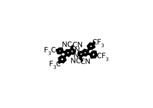 N#CC(C#N)=C1c2cc(-c3ccc(C(F)(F)F)cc3)c(-c3ccc(C(F)(F)F)cc3)cc2-c2nc3c(nc21)-c1cc(-c2ccc(C(F)(F)F)cc2)c(-c2ccc(C(F)(F)F)cc2)cc1C3=C(C#N)C#N